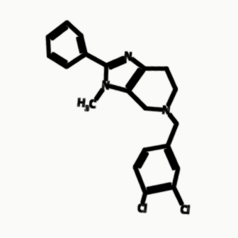 Cn1c(-c2ccccc2)nc2c1CN(Cc1ccc(Cl)c(Cl)c1)CC2